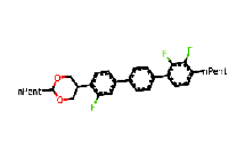 CCCCCc1ccc(-c2ccc(-c3ccc(C4COC(CCCCC)OC4)c(F)c3)cc2)c(F)c1F